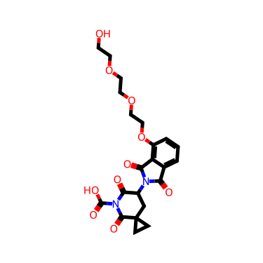 O=C(O)N1C(=O)C(N2C(=O)c3cccc(OCCOCCOCCO)c3C2=O)CC2(CC2)C1=O